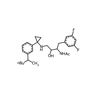 CCCCC(C)c1cccc(C2(NCC(O)C(Cc3cc(F)cc(F)c3)NC(C)=O)CC2)c1